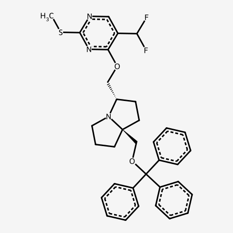 CSc1ncc(C(F)F)c(OC[C@@H]2CC[C@]3(COC(c4ccccc4)(c4ccccc4)c4ccccc4)CCCN23)n1